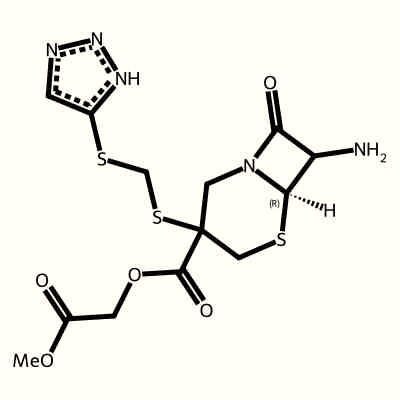 COC(=O)COC(=O)C1(SCSc2cnn[nH]2)CS[C@@H]2C(N)C(=O)N2C1